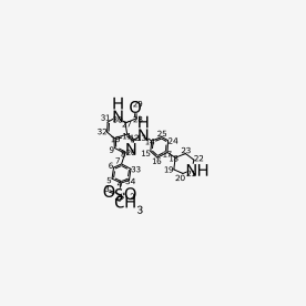 CS(=O)(=O)c1ccc(-c2cc3c(c(Nc4ccc(C5CCNCC5)cc4)n2)C(C=O)NC=C3)cc1